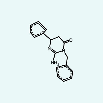 NC1=NC(c2ccccc2)CC(=O)N1Cc1ccccc1